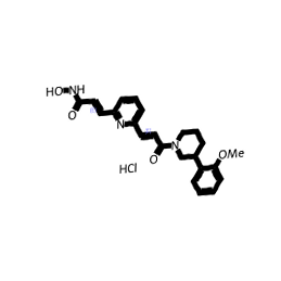 COc1ccccc1C1CCCN(C(=O)/C=C/c2cccc(/C=C/C(=O)NO)n2)C1.Cl